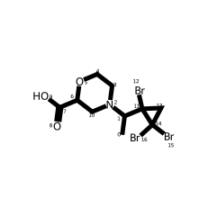 CC(N1CCOC(C(=O)O)C1)C1(Br)CC1(Br)Br